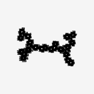 Cc1cc(-c2cccc(-n3c4ccccc4c4ccccc43)c2)ccc1N(c1ccc(-c2ccc3cc(-c4ccc5cc(-c6ccc(N(c7ccc(-c8ccc9ccccc9c8)cc7)c7c(C)cc(-c8cccc(-n9c%10ccccc%10c%10ccccc%109)c8)cc7C)cc6)c6ccccc6c5c4)ccc3c2)cc1)c1ccc(-c2cc3ccccc3c3ccccc23)cc1